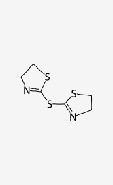 C1CSC(SC2=NCCS2)=N1